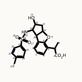 CC(C(=O)O)c1cccc2c1OC1CC(O)C(NS(=O)(=O)c3ccc(I)cc3)C21